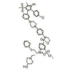 Cc1c(S(C)(=O)=O)c(-c2cccc(N3CCN(c4ccc(N5CCO[P@@]5(=O)c5ccc(N[C@H](CCN6CCC(O)CC6)CSc6ccccc6)c(S(=O)(=O)C(F)(F)F)c5)cc4)CC3)c2)c(-c2ccc(Cl)cc2)n1C(C)C